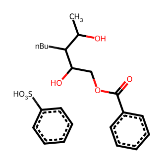 CCCCC(C(C)O)C(O)COC(=O)c1ccccc1.O=S(=O)(O)c1ccccc1